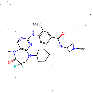 COc1cc(C(=O)NC2CN(C(C)=O)C2)ccc1Nc1ncc2c(n1)N(C1CCCCC1)CC(F)(F)C(=O)N2C